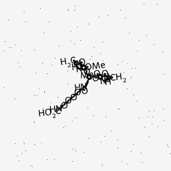 C=C1C[C@H]2C=Nc3cc(OCc4cc(C#CCNC(=O)CCOCCOCCOCCOCCNC(=O)O)cc(COc5cc6c(cc5OC)C(=O)N5CC(=C)C[C@H]5C=N6)c4)c(OC)cc3C(=O)N2C1